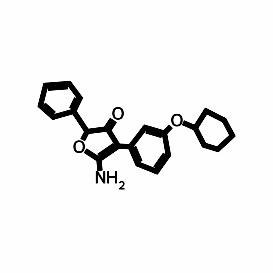 NC1=C(c2cccc(OC3CCCCC3)c2)C(=O)C(c2ccccc2)O1